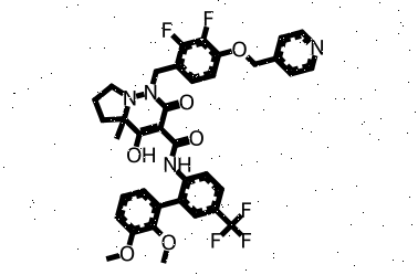 COc1cccc(-c2cc(C(F)(F)F)ccc2NC(=O)C2=C(O)C3(C)CCCN3N(Cc3ccc(OCc4ccncc4)c(F)c3F)C2=O)c1OC